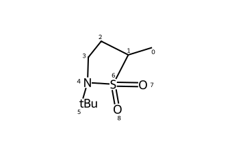 CC1CCN(C(C)(C)C)S1(=O)=O